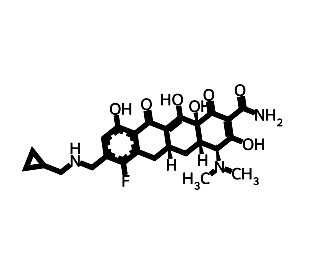 CN(C)[C@@H]1C(O)=C(C(N)=O)C(=O)[C@@]2(O)C(O)=C3C(=O)c4c(O)cc(CNCC5CC5)c(F)c4C[C@H]3C[C@@H]12